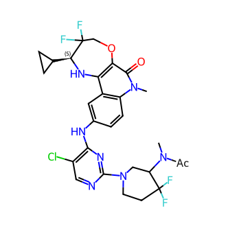 CC(=O)N(C)C1CN(c2ncc(Cl)c(Nc3ccc4c(c3)c3c(c(=O)n4C)OCC(F)(F)[C@H](C4CC4)N3)n2)CCC1(F)F